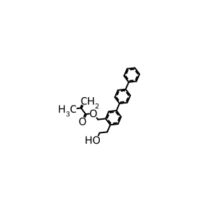 C=C(C)C(=O)OCc1cc(-c2ccc(-c3ccccc3)cc2)ccc1CCO